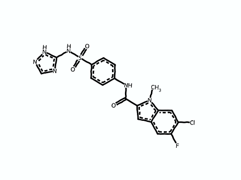 Cn1c(C(=O)Nc2ccc(S(=O)(=O)Nc3ncn[nH]3)cc2)cc2cc(F)c(Cl)cc21